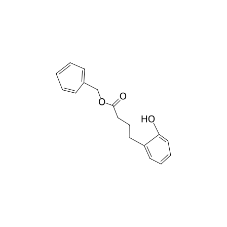 O=C(CCCc1ccccc1O)OCc1ccccc1